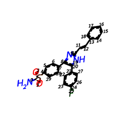 NS(=O)(=O)c1ccc(-c2nc(C=Cc3ccccc3)[nH]c2-c2ccc(F)cc2)cc1